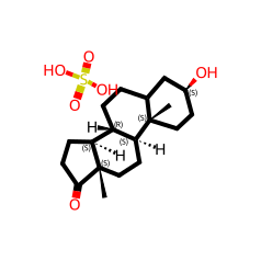 C[C@]12CC[C@H](O)CC1CC[C@@H]1[C@@H]2CC[C@]2(C)C(=O)CC[C@@H]12.O=S(=O)(O)O